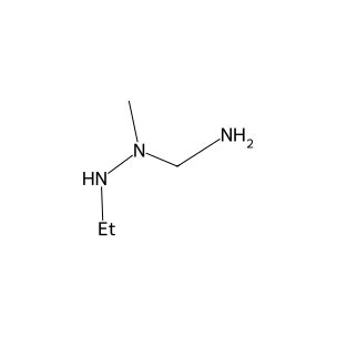 CCNN(C)CN